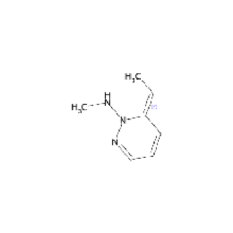 C/C=C1/C=CC=NN1NC